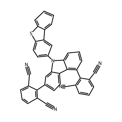 N#Cc1cccc(C#N)c1-c1ccc2c3c(-c4c(C#N)cccc4C#N)cccc3n(-c3ccc4sc5ccccc5c4c3)c2c1